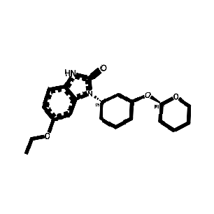 CCOc1ccc2[nH]c(=O)n([C@H]3CCCC(O[C@@H]4CCCCO4)C3)c2c1